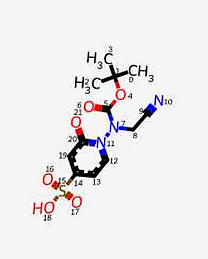 CC(C)(C)OC(=O)N(CC#N)n1ccc(S(=O)(=O)O)cc1=O